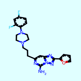 Nc1nc(CCCN2CCN(c3ccc(F)cc3F)CC2)cc2nc(-c3ccco3)nn12